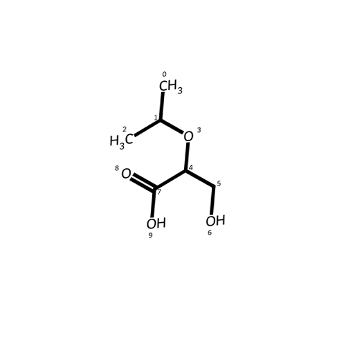 CC(C)OC(CO)C(=O)O